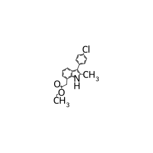 CCOC(=O)Cc1cccc2c(-c3ccc(Cl)cc3)c(C)[nH]c12